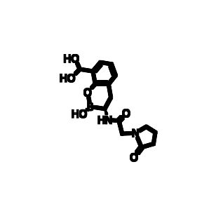 O=C(CN1CCCC1=O)N[C@H]1Cc2cccc(C(O)O)c2OB1O